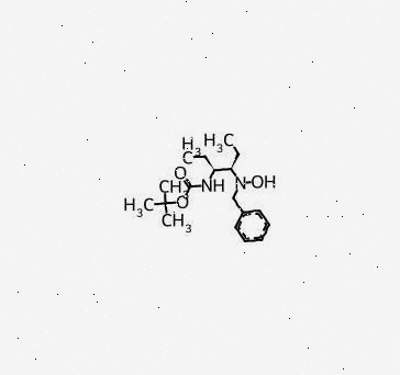 CC[C@H](NC(=O)OC(C)(C)C)[C@@H](CC)N(O)Cc1ccccc1